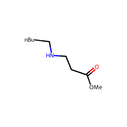 CCCCCNCCC(=O)OC